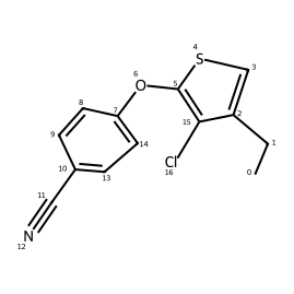 CCc1csc(Oc2ccc(C#N)cc2)c1Cl